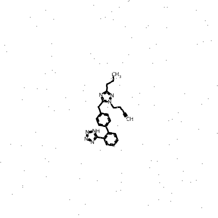 C#CCCn1nc(CCC)nc1Cc1ccc(-c2ccccc2-c2nnn[nH]2)cc1